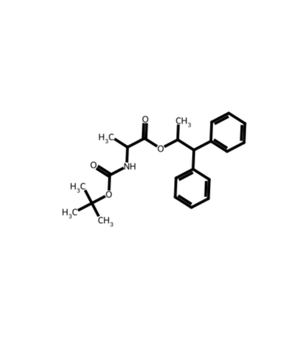 CC(NC(=O)OC(C)(C)C)C(=O)OC(C)C(c1ccccc1)c1ccccc1